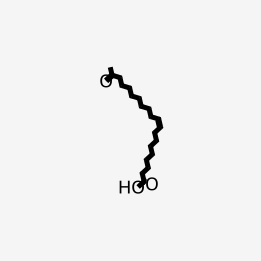 CC(=O)CCCCCCCC/C=C\CCCCCCCC(=O)O